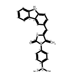 C=c1c(=Cc2ccc3[nH]c4ccccc4c3c2)oc(=O)n1-c1ccc(N(C)C)cc1